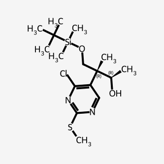 CSc1ncc([C@](C)(CO[Si](C)(C)C(C)(C)C)[C@@H](C)O)c(Cl)n1